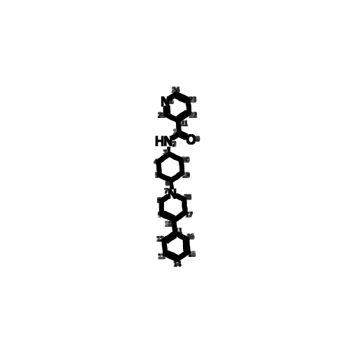 O=C(N[C@H]1CC[C@H](N2CC=C(c3ccccc3)CC2)CC1)c1cccnc1